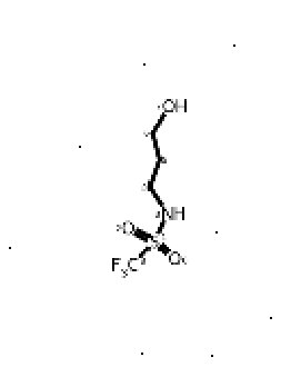 O=S(=O)(NCCCO)C(F)(F)F